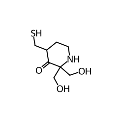 O=C1C(CS)CCNC1(CO)CO